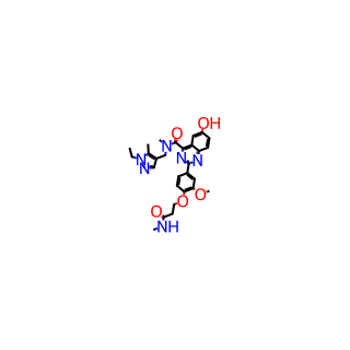 CCn1ncc(CN(C)C(=O)c2nc(-c3ccc(OCCC(=O)NC)c(OC)c3)nc3ccc(O)cc23)c1C